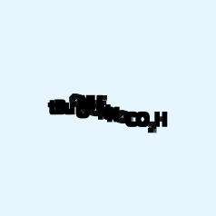 CC(C)(C)c1cccc(NC(=O)c2ccc(N3CCN(c4ccc(C(=O)O)cc4)CC3)c(F)c2)c1